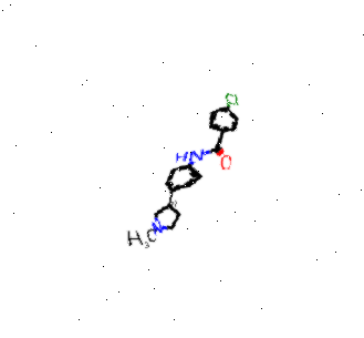 CN1CC[C@H](c2ccc(NC(=O)c3ccc(Cl)cc3)cc2)C1